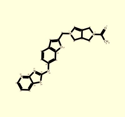 CC(=O)N1CC2=CN(Cc3cc4ccc(Oc5nc6ncccc6s5)cc4o3)CC2C1